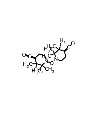 CC1(C)C(=C=O)CCN(ON2CCC(=C=O)C(C)(C)C2(C)C)C1(C)C